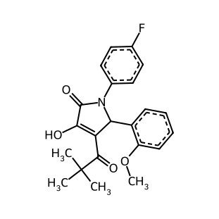 COc1ccccc1C1C(C(=O)C(C)(C)C)=C(O)C(=O)N1c1ccc(F)cc1